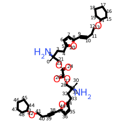 C[C@@](N)(CCc1ccc(C#CCCOC2CCCCC2)o1)COC(=O)C(=O)OC[C@](C)(N)CCc1ccc(C#CCCOC2CCCCC2)o1